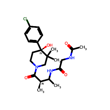 CC(=O)NCC(=O)NC(C)[C@@H](C)C(=O)N1CC[C@](O)(c2ccc(Cl)cc2)C(C)(C)C1